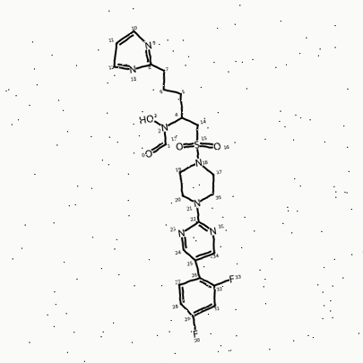 O=CN(O)C(CCCc1ncccn1)CS(=O)(=O)N1CCN(c2ncc(-c3ccc(F)cc3F)cn2)CC1